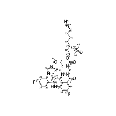 COCCN(Cn1nc2c3c(cc(F)cc3c1=O)N[C@@H](c1ccc(F)cc1)[C@@H]2c1ncnn1C)C(=O)OC(CCCCCN=[N+]=[N-])CS(C)(=O)=O